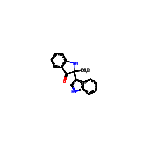 CCOC(=O)C1(c2c[nH]c3ccccc23)Nc2ccccc2C1=O